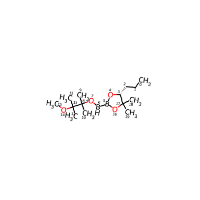 CCC[C@H]1OB(BOC(C)(C)C(C)(C)OC)OC1(C)C